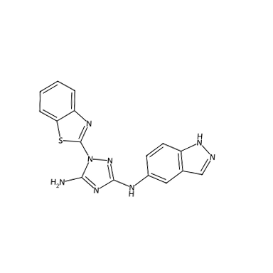 Nc1nc(Nc2ccc3[nH]ncc3c2)nn1-c1nc2ccccc2s1